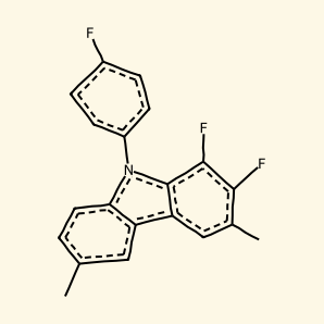 Cc1ccc2c(c1)c1cc(C)c(F)c(F)c1n2-c1ccc(F)cc1